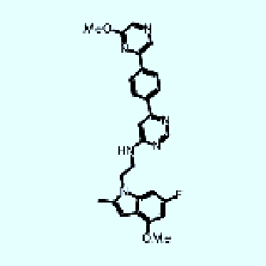 COc1cncc(-c2ccc(-c3cc(NCCn4c(C)cc5c(OC)cc(F)cc54)ncn3)cc2)n1